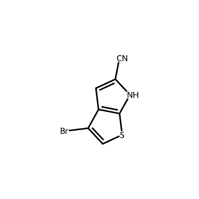 N#Cc1cc2c(Br)csc2[nH]1